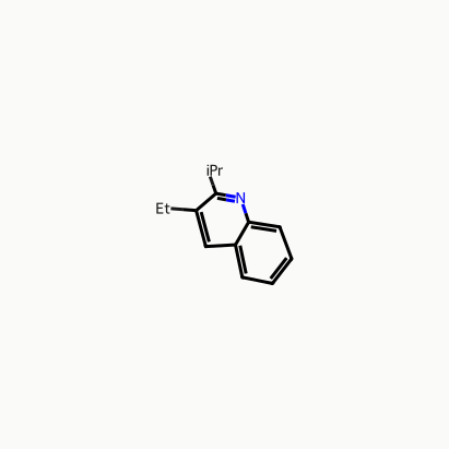 CCc1cc2ccccc2nc1C(C)C